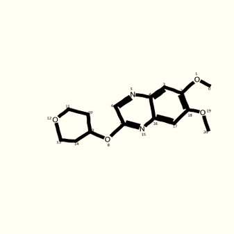 COc1cc2ncc(OC3CCOCC3)nc2cc1OC